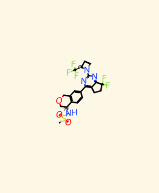 CS(=O)(=O)N[C@H]1COCc2cc(-c3nc(N4CC[C@@H]4C(F)(F)F)nc4c3CCC4(F)F)ccc21